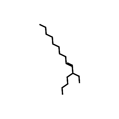 CCCCCCCCC=CC(CC)CCCC